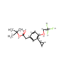 CC(C)(C)OC(=O)Cc1ccc(OCC(F)(F)F)c(C2CC2)c1